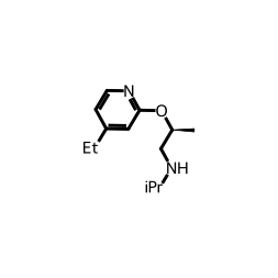 CCc1ccnc(O[C@@H](C)CNC(C)C)c1